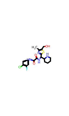 Cc1nc(C(NC(=O)C(=O)Nc2ccc(Cl)c(F)c2)C2CCCCN2)sc1CO